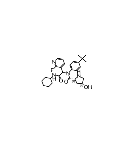 CC(C)(C)c1ccc(N(C(=O)[C@H]2C[C@@H](O)CN2)C(C(=O)NC2CCCCC2)c2cccnc2F)cc1